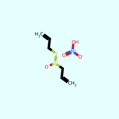 C=CCS[S+]([O-])CC=C.O=[N+]([O-])O